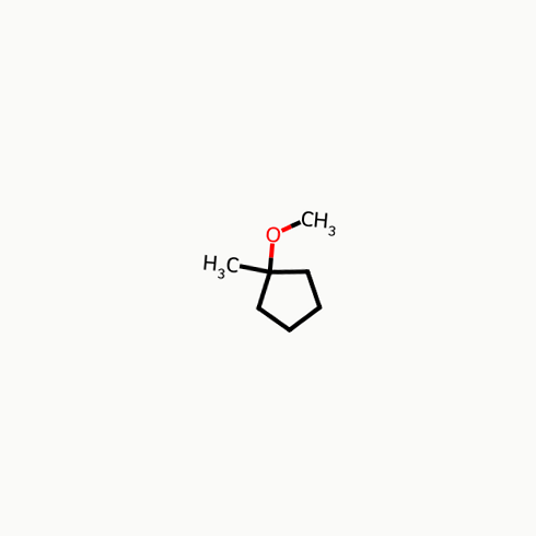 COC1(C)CCCC1